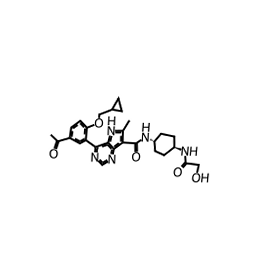 CC(=O)c1ccc(OCC2CC2)c(-c2ncnc3c(C(=O)N[C@H]4CC[C@H](NC(=O)CO)CC4)c(C)[nH]c23)c1